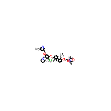 Cc1c(COc2cc(OCc3cncc(C#N)c3)c(CN3CCCC[C@H]3C(=O)O)cc2Cl)cccc1-c1cccc(OCCCN2[C@H]3COC[C@@H]2COC3)c1C